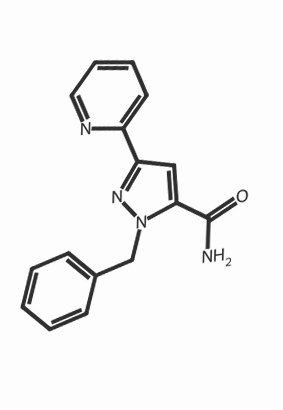 NC(=O)c1cc(-c2ccccn2)nn1Cc1ccccc1